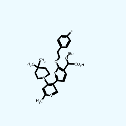 Cc1cc(N2CCC(C)(C)CC2)c(-c2ccc(C(OC(C)(C)C)C(=O)O)c(OCCc3ccc(F)cc3)n2)cn1